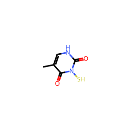 Cc1c[nH]c(=O)n(S)c1=O